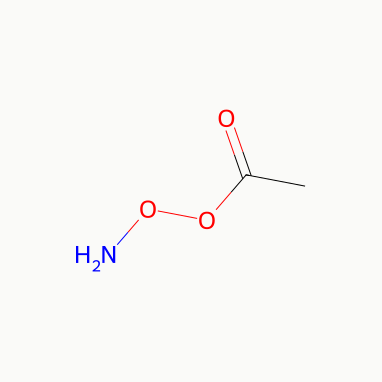 CC(=O)OON